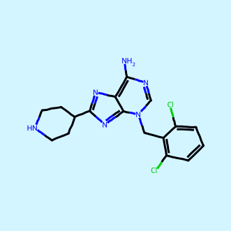 Nc1ncn(Cc2c(Cl)cccc2Cl)c2nc(C3CCNCC3)nc1-2